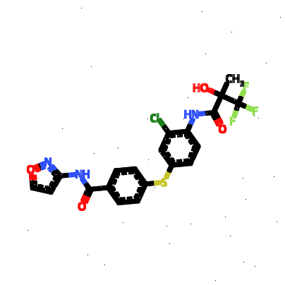 CC(O)(C(=O)Nc1ccc(Sc2ccc(C(=O)Nc3ccon3)cc2)cc1Cl)C(F)(F)F